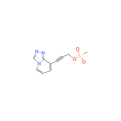 CS(=O)(=O)OCC#Cc1cccn2cnnc12